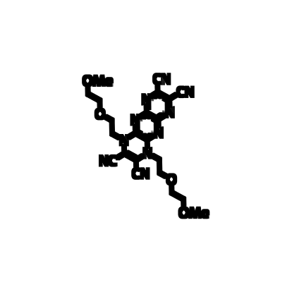 COCCOCCN1C(C#N)=C(C#N)N(CCOCCOC)c2nc3nc(C#N)c(C#N)nc3nc21